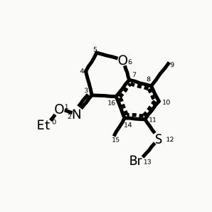 CCON=C1CCOc2c(C)cc(SBr)c(C)c21